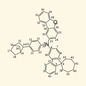 c1ccc(C2(c3ccc(N(c4ccc(C5CC6CCC5C6)cc4)c4ccc5oc6ccccc6c5c4)cc3)CCCCCC2)cc1